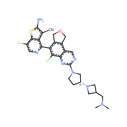 CN(C)CC1CN([C@@H]2CCN(c3ncc4c5c(c(-c6ncc(F)c7sc(N)c(C#N)c67)c(F)c4n3)COC5)C2)C1